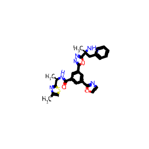 Cc1csc([C@@H](C)NC(=O)c2cc(-c3ncco3)cc(-c3nnc([C@](C)(N)Cc4ccccc4)o3)c2)n1